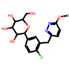 CCOc1ccc(Cc2cc(C3OC(CO)C(O)C(O)C3O)ccc2Cl)nn1